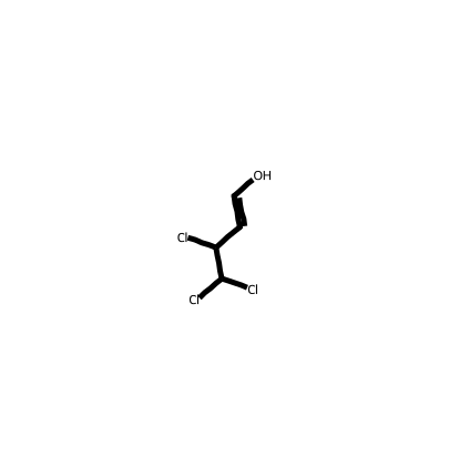 OC=CC(Cl)C(Cl)Cl